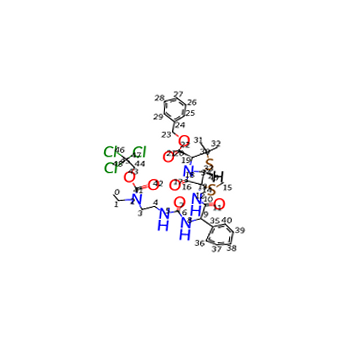 CCN(CCNC(=O)NC(C(=O)N[C@]1(SC)C(=O)N2[C@@H](C(=O)OCc3ccccc3)C(C)(C)S[C@@H]21)c1ccccc1)C(=O)OCC(Cl)(Cl)Cl